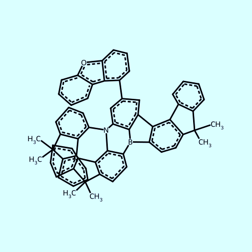 CC1(C)c2ccccc2-c2c(N3c4cc(-c5cccc6oc7ccccc7c56)cc5c4B(c4ccc6c(c4-5)-c4ccccc4C6(C)C)c4ccc5c(c43)-c3ccccc3C5(C)C)cccc21